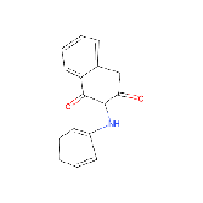 O=C1Cc2ccccc2C(=O)C1Nc1ccccc1